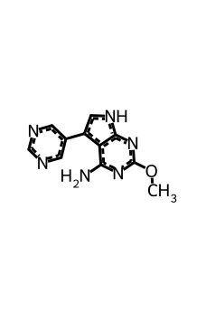 COc1nc(N)c2c(-c3cncnc3)c[nH]c2n1